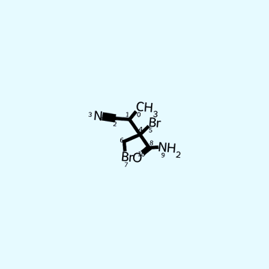 CC(C#N)C(Br)(CBr)C(N)=O